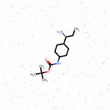 CC[C@H](N)C1CCC(NC(=O)OC(C)(C)C)CC1